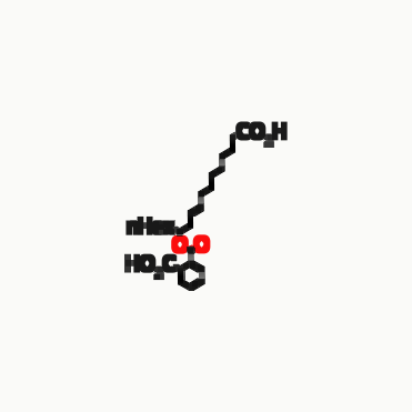 CCCCCCC(CC=CCCCCCCCC(=O)O)OC(=O)c1ccccc1C(=O)O